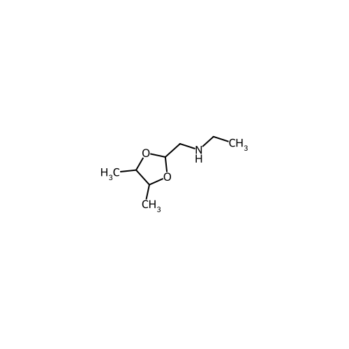 CCNCC1OC(C)C(C)O1